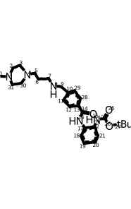 CN1CCN(CCCNCc2ccc(C(=O)Nc3ccccc3NC(=O)OC(C)(C)C)cc2)CC1